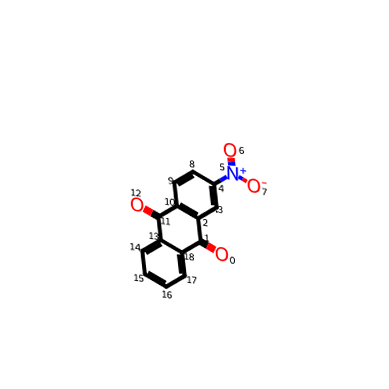 O=C1c2[c]c([N+](=O)[O-])ccc2C(=O)c2ccccc21